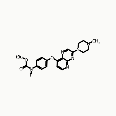 CN1CCN(c2cnc3c(Oc4ccc(N(F)C(=O)OC(C)(C)C)cc4)ccnc3n2)CC1